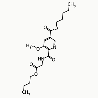 CCCCCOC(=O)c1cnc(C(=O)NCC(=O)OCCCC)c(OC)c1